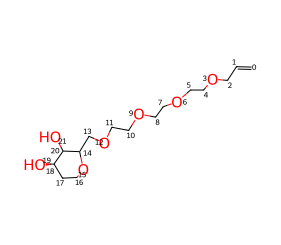 C=CCOCCOCCOCCOCC1OCC[C@@H](O)C1O